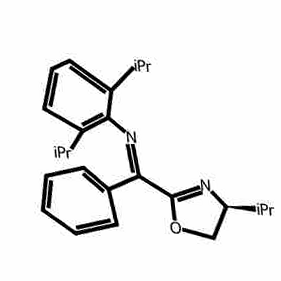 CC(C)c1cccc(C(C)C)c1/N=C(/C1=N[C@@H](C(C)C)CO1)c1ccccc1